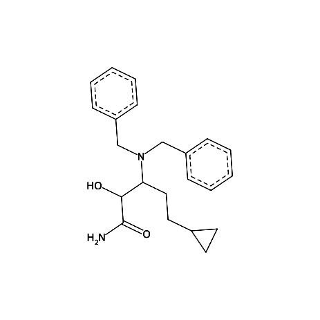 NC(=O)C(O)C(CCC1CC1)N(Cc1ccccc1)Cc1ccccc1